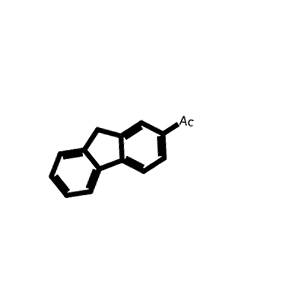 CC(=O)c1ccc2c(c1)Cc1ccccc1-2